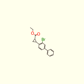 CCOC(=O)C1CC1c1ccc(-c2ccccc2)cc1Br